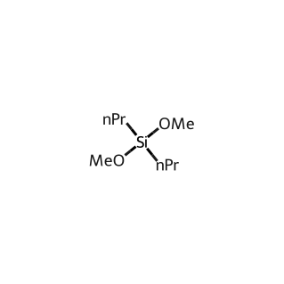 CCC[Si](CCC)(OC)OC